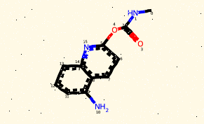 CNC(=O)Oc1ccc2c(N)cccc2n1